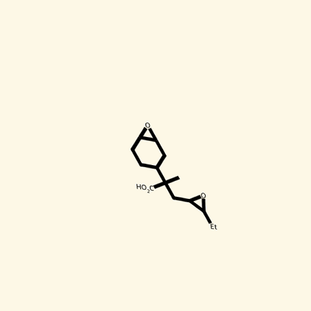 CCC1OC1CC(C)(C(=O)O)C1CCC2OC2C1